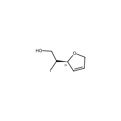 OCC(I)[C@@H]1C=CCO1